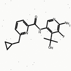 CC(C)(O)c1c(NC(=O)c2cccc(CC3CC3)n2)cnc(N)c1F